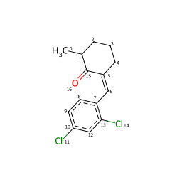 CC1CCCC(=Cc2ccc(Cl)cc2Cl)C1=O